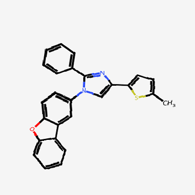 Cc1ccc(-c2cn(-c3ccc4oc5ccccc5c4c3)c(-c3ccccc3)n2)s1